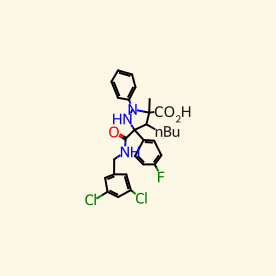 CCCCC1C(C(=O)NCc2cc(Cl)cc(Cl)c2)(c2ccc(F)cc2)NN(c2ccccc2)C1(C)C(=O)O